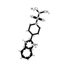 CN(C)S(=O)(=O)N1CCC(c2nc3ccccc3[nH]2)CC1